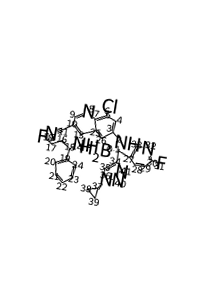 B[C@](Nc1cc(Cl)c2ncc(C#N)c(N[C@H](CCF)c3ccccc3)c2c1)(c1ccc(F)nc1)c1cn(C2CC2)nn1